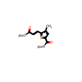 CNC(=O)c1cc(C)c(/C=C/C(=O)OC)s1